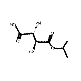 CC(C)OC(=O)[C@@H](S)[C@@H](S)C(=O)O